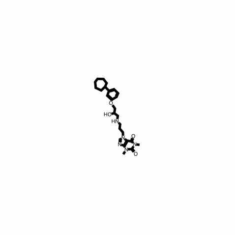 Cn1c(=O)c2c(ncn2CCCNCC(O)COc2cccc(C3CCCCCC3)c2)n(C)c1=O